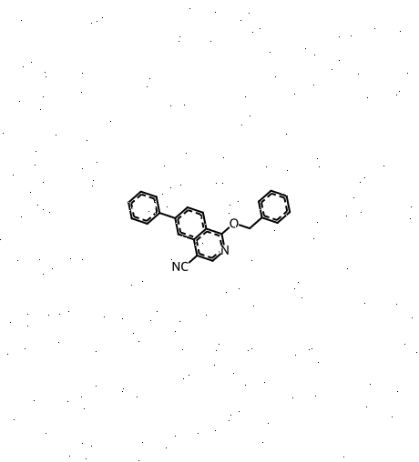 N#Cc1cnc(OCc2ccccc2)c2ccc(-c3ccccc3)cc12